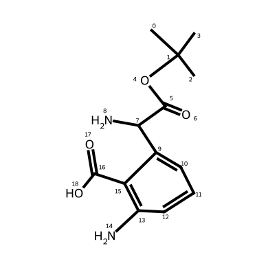 CC(C)(C)OC(=O)C(N)c1cccc(N)c1C(=O)O